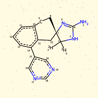 [2H]C1([2H])NC(N)=N[C@]12CCc1cccc(-c3cncnc3)c1C2